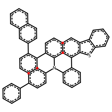 c1ccc(-c2ccc(N(c3ccccc3-c3ccccc3-c3ccc4ccccc4c3)c3ccccc3-c3cccc4c3sc3ccccc34)cc2)cc1